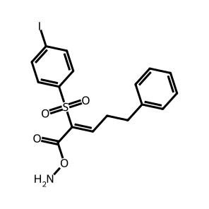 NOC(=O)C(=CCCc1ccccc1)S(=O)(=O)c1ccc(I)cc1